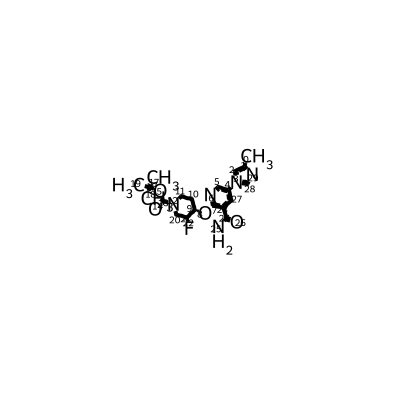 Cc1cn(-c2cnc(O[C@@H]3CCN(C(=O)OC(C)(C)C)C[C@@H]3F)c(C(N)=O)c2)cn1